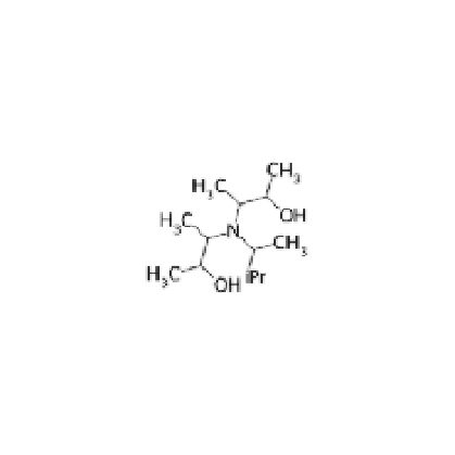 CC(C)C(C)N(C(C)C(C)O)C(C)C(C)O